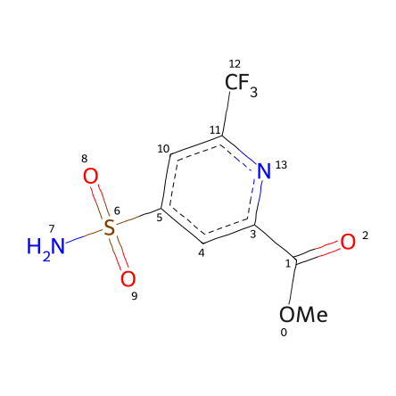 COC(=O)c1cc(S(N)(=O)=O)cc(C(F)(F)F)n1